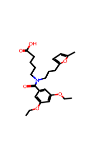 CCOc1cc(OCC)cc(C(=O)N(CCCCC(=O)O)CCCc2ccc(C)o2)c1